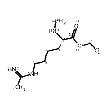 CC(=N)NCCCC[C@H](NP)C(=O)OCCl